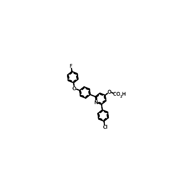 O=C(O)Oc1cc(-c2ccc(Cl)cc2)nc(-c2ccc(Oc3ccc(F)cc3)cc2)c1